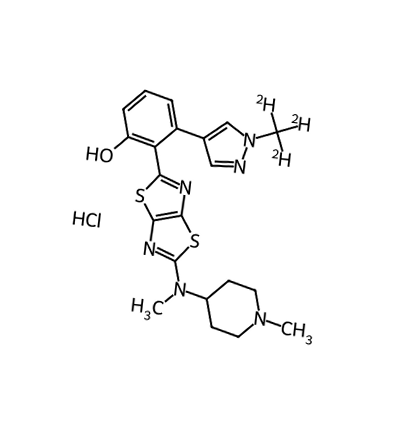 Cl.[2H]C([2H])([2H])n1cc(-c2cccc(O)c2-c2nc3sc(N(C)C4CCN(C)CC4)nc3s2)cn1